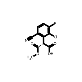 COC(=O)[C@@H](C(=O)O)c1c(C#N)ccc(F)c1Cl